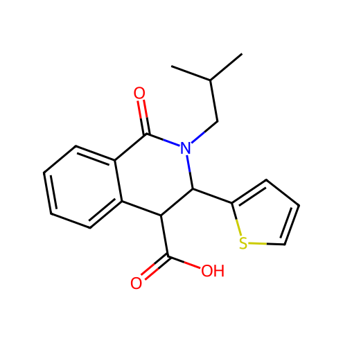 CC(C)CN1C(=O)c2ccccc2C(C(=O)O)C1c1cccs1